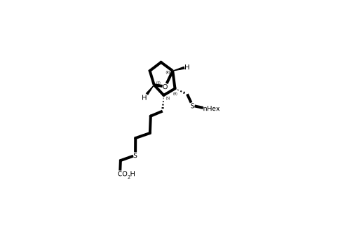 CCCCCCSC[C@@H]1[C@H](CCCCSCC(=O)O)[C@@H]2CC[C@H]1O2